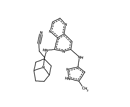 Cc1cc(Nc2cc3nccnc3c(NC3CC4CCC(C3)N4CCC#N)n2)n[nH]1